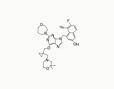 C#Cc1c(F)ccc2cc(O)cc(Cn3cnc4c(OCC5(CN6CCOC(C)(C)C6)CC5)nc(N5CCCOCC5)nc43)c12